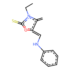 C=c1/c(=C/Nc2ccccc2)oc(=S)n1CC